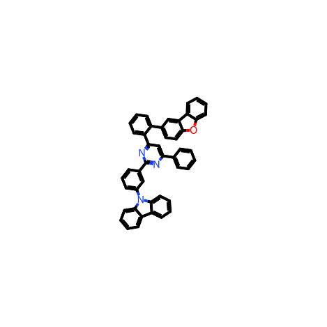 c1ccc(-c2cc(-c3ccccc3-c3ccc4oc5ccccc5c4c3)nc(-c3cccc(-n4c5ccccc5c5ccccc54)c3)n2)cc1